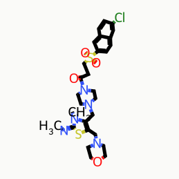 CN=c1sc(CN2CCOCC2)c(CN2CCN(C(=O)CCS(=O)(=O)c3ccc4cc(Cl)ccc4c3)CC2)n1C